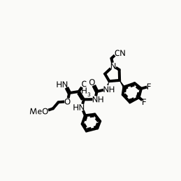 COCCOC(=N)/C(C)=C(/NC(=O)N[C@@H]1CN(CC#N)C[C@H]1c1ccc(F)c(F)c1)Nc1ccccc1